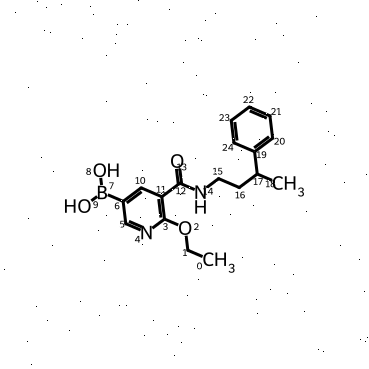 CCOc1ncc(B(O)O)cc1C(=O)NCCC(C)c1ccccc1